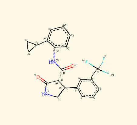 O=C1NC[C@H](c2cccc(C(F)(F)F)c2)[C@H]1C(=O)Nc1ccccc1C1CC1